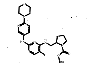 CC(C)(C)OC(=O)N1CCCC1CNc1nc(Nc2ccc(N3CCOCC3)nc2)ncc1F